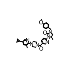 COc1ccc(CN2CC(C)N(c3ccc(C(=O)N4CCN(c5ncc(C6CC6)cc5C)CC4)cn3)C2=O)cc1